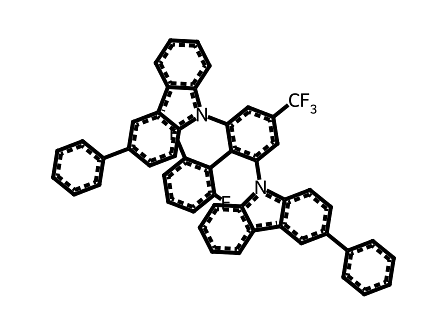 Fc1cccc(F)c1-c1c(-n2c3ccccc3c3cc(-c4ccccc4)ccc32)cc(C(F)(F)F)cc1-n1c2ccccc2c2cc(-c3ccccc3)ccc21